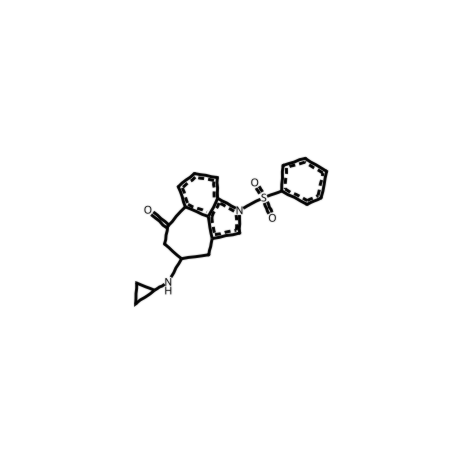 O=C1CC(NC2CC2)Cc2cn(S(=O)(=O)c3ccccc3)c3cccc1c23